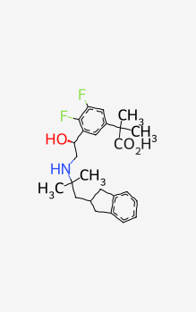 CC(C)(CC1Cc2ccccc2C1)NC[C@@H](O)c1cc(C(C)(C)C(=O)O)cc(F)c1F